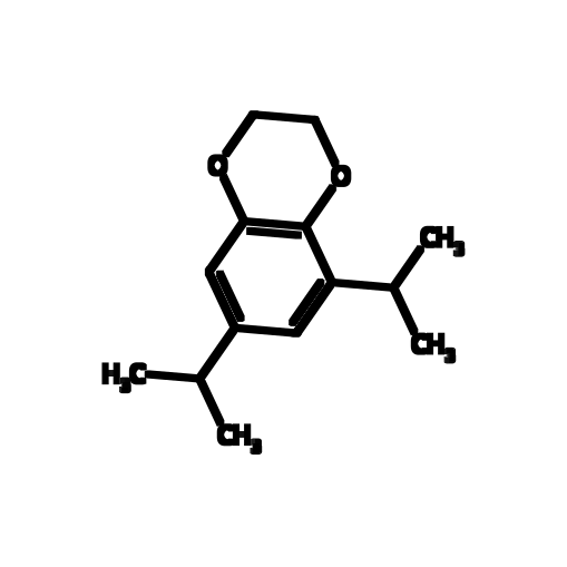 CC(C)c1cc2c(c(C(C)C)c1)OCCO2